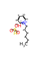 CCCCCC[n+]1ccccc1.O=[SH](=O)O